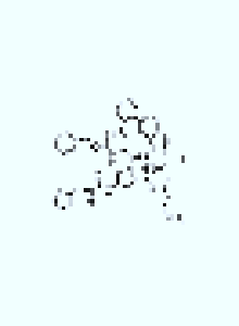 NCCCC[C@H](NC(=O)[C@@H]1C[C@@H](OC(=O)NCC2CC=CS2)CN1C(=O)[C@@H](CCc1ccccc1)NC(=O)OCc1ccccc1)C(=O)c1nc2ccccc2o1